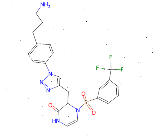 NCCCc1ccc(-n2cc(CC3C(=O)NC=CN3S(=O)(=O)c3cccc(C(F)(F)F)c3)nn2)cc1